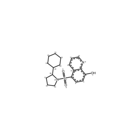 O=S(=O)(c1ccc(O)c2ncccc12)N1CCCC1C1CCCCC1